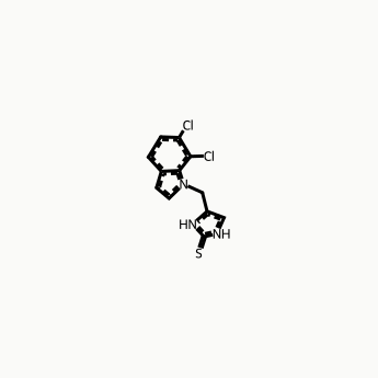 S=c1[nH]cc(Cn2ccc3ccc(Cl)c(Cl)c32)[nH]1